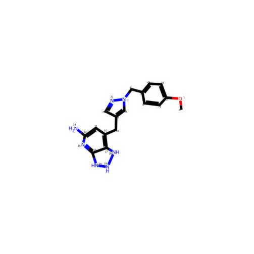 COc1ccc(Cn2cc(Cc3cc(N)nc4c3NNN4)cn2)cc1